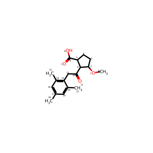 COC1CCC(C(=O)O)C1C(=O)Cc1c(C)cc(C)cc1C